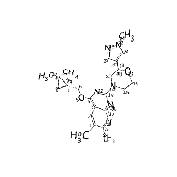 Cc1cc2c(OC[C@@H]3CC3(C)C)nc(N3CCO[C@H](c4cnn(C)c4)C3)nc2nc1C